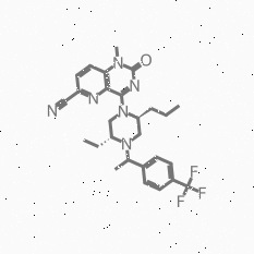 CCC[C@H]1CN(C(C)c2ccc(C(F)(F)F)cc2)[C@H](CC)CN1c1nc(=O)n(C)c2ccc(C#N)nc12